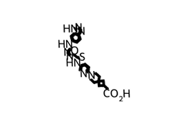 O=C(O)CC1CC2(CCN(c3ccc(NC(=S)c4nnc(Nc5ccc6nn[nH]c6c5)o4)cn3)CC2)C1